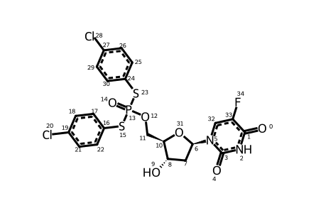 O=c1[nH]c(=O)n([C@H]2C[C@H](O)[C@@H](COP(=O)(Sc3ccc(Cl)cc3)Sc3ccc(Cl)cc3)O2)cc1F